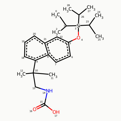 CC(C)[Si](Oc1ccc2c(C(C)(C)CNC(=O)O)cccc2c1)(C(C)C)C(C)C